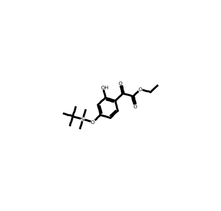 CCOC(=O)C(=O)c1ccc(O[Si](C)(C)C(C)(C)C)cc1O